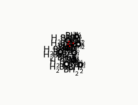 Bc1c(B)c(B)c(-c2nc(-c3ccccc3)nc(-c3ccc(-n4c5ccccc5c5c(-c6ccccc6)cccc54)c(-c4nc(-c5c(B)c(B)c(B)c(B)c5B)nc(-c5c(B)c(B)c(B)c(B)c5B)n4)c3)n2)c(B)c1B